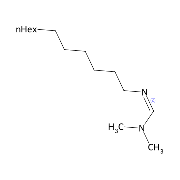 CCCCCCCCCCCC/N=C\N(C)C